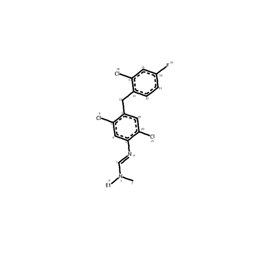 CCN(C)C=Nc1cc(Cl)c(Cc2ccc(F)cc2Cl)cc1Cl